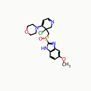 COc1ccc2[nH]c([S+]([O-])CC3(Cl)CN=CC=C3N3CCOCC3)nc2c1